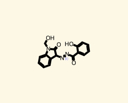 O=C(/N=N/C1C(=O)N(CO)c2ccccc21)c1ccccc1O